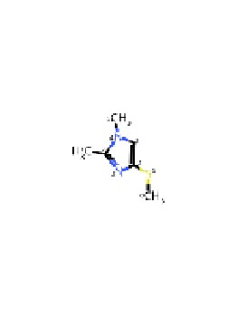 CSc1cn(C)c(C)n1